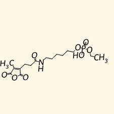 CCOP(=O)(O)OCCCCCCNC(=O)CCC1=C(C)C(=O)OC1=O